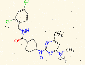 Cc1cc(N(C)C)nc(NC2CCC(C(=O)NCc3ccc(Cl)cc3Cl)CC2)n1